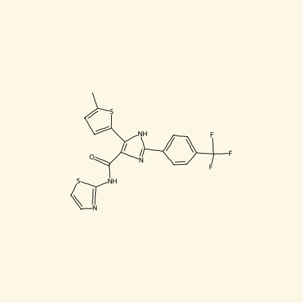 Cc1ccc(-c2[nH]c(-c3ccc(C(F)(F)F)cc3)nc2C(=O)Nc2nccs2)s1